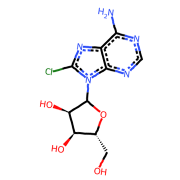 Nc1ncnc2c1nc(Cl)n2C1O[C@H](CO)[C@@H](O)[C@H]1O